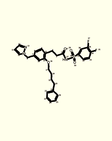 O=C(CCc1ccc(Cn2cccn2)cc1OCCCCc1ccccc1)NS(=O)(=O)c1ccc(F)c(F)c1